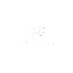 COc1ccc([C@H]2CC[C@H](C(=O)O)CC2)cc1-c1ccc(N2CC(F)(F)C2)nc1CN1C(=O)O[C@H](c2cccc(C)c2)[C@@H]1C